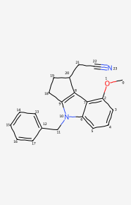 COc1cccc2c1c1c(n2Cc2ccccc2)CCC1CC#N